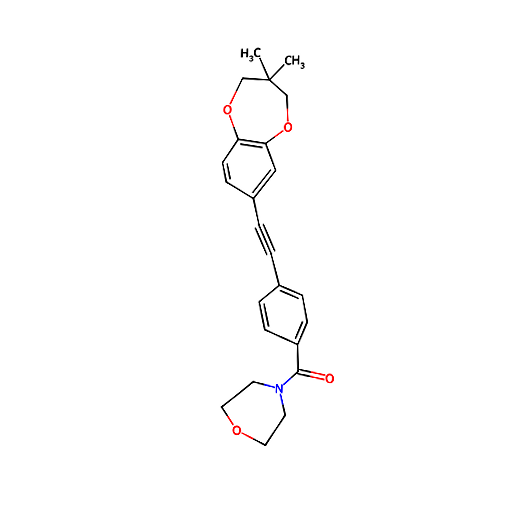 CC1(C)COc2ccc(C#Cc3ccc(C(=O)N4CCOCC4)cc3)cc2OC1